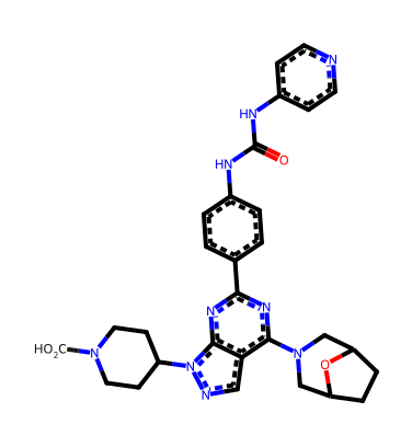 O=C(Nc1ccncc1)Nc1ccc(-c2nc(N3CC4CCC(C3)O4)c3cnn(C4CCN(C(=O)O)CC4)c3n2)cc1